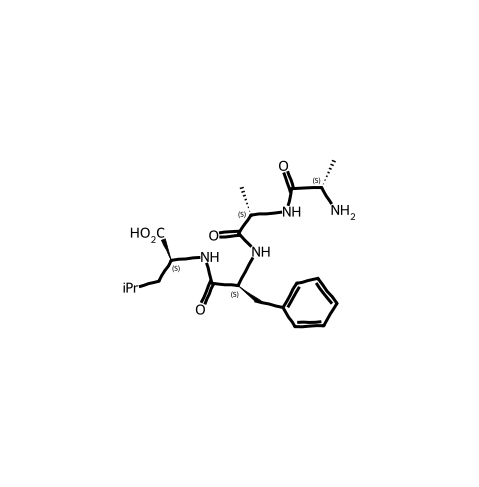 CC(C)C[C@H](NC(=O)[C@H](Cc1ccccc1)NC(=O)[C@H](C)NC(=O)[C@H](C)N)C(=O)O